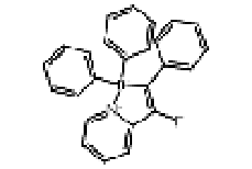 FC1=C(c2ccccc2)[B-](c2ccccc2)(c2ccccc2)[n+]2ccccc21